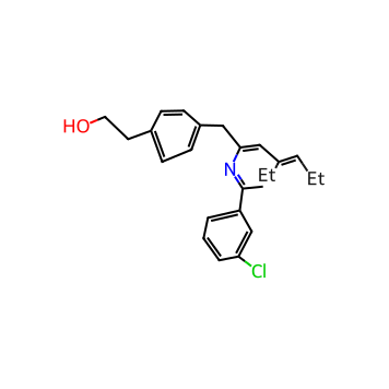 CC/C=C(/C=C(Cc1ccc(CCO)cc1)\N=C(/C)c1cccc(Cl)c1)CC